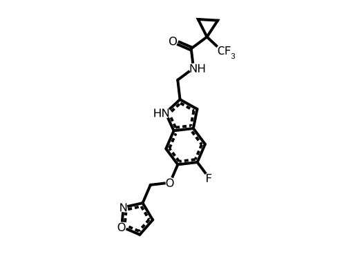 O=C(NCc1cc2cc(F)c(OCc3ccon3)cc2[nH]1)C1(C(F)(F)F)CC1